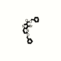 O=C(OCc1ccccc1)c1cnc2ccc(OCc3ccccc3)nc2c1Br